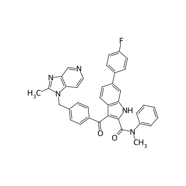 Cc1nc2cnccc2n1Cc1ccc(C(=O)c2c(C(=O)N(C)c3ccccc3)[nH]c3cc(-c4ccc(F)cc4)ccc23)cc1